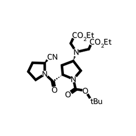 CCOC(=O)CN(CC(=O)OCC)[C@H]1C[C@@H](C(=O)N2CCC[C@H]2C#N)N(C(=O)OC(C)(C)C)C1